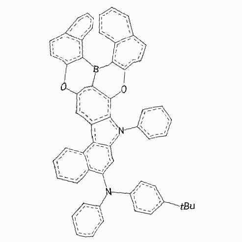 CC(C)(C)c1ccc(N(c2ccccc2)c2cc3c(c4ccccc24)c2cc4c5c(c2n3-c2ccccc2)Oc2ccc3ccccc3c2B5c2c(ccc3ccccc23)O4)cc1